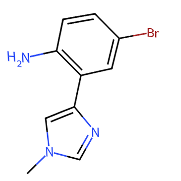 Cn1cnc(-c2cc(Br)ccc2N)c1